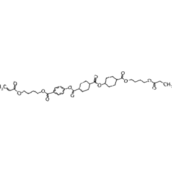 C=CC(=O)OCCCCOC(=O)c1ccc(OC(=O)C2CCC(C(=O)OC3CCC(C(=O)OCCCCOC(=O)CC)CC3)CC2)cc1